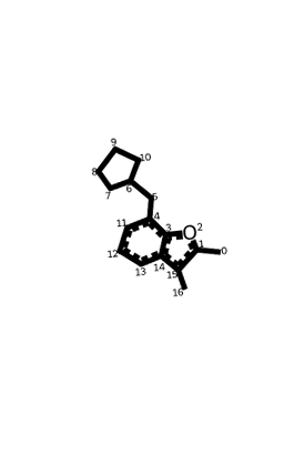 Cc1oc2c(CC3CCCC3)cccc2c1C